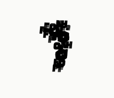 NC1=N[C@](CF)(c2cc(NC(=O)c3ccc(OC(F)(F)F)cn3)ccc2F)C[C@@H](C(F)(F)F)O1